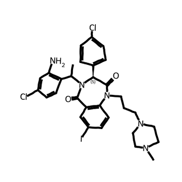 CC(c1ccc(Cl)cc1N)N1C(=O)c2cc(I)ccc2N(CCCN2CCN(C)CC2)C(=O)[C@@H]1c1ccc(Cl)cc1